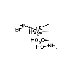 CC(=O)O.CC(=O)O.CC(=O)O.CCNCC.NO